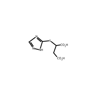 O=C(O)CC(Sc1n[c]n[nH]1)C(=O)O